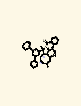 CC1=Cc2ncc3c4ccccc4c(=O)n4c3c2/C(=C\C=C/1)C4(C)c1cc(-c2ccccc2)cc(-c2ccccc2)c1